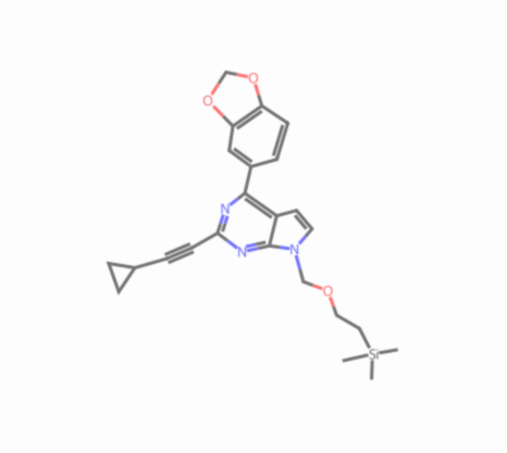 C[Si](C)(C)CCOCn1ccc2c(-c3ccc4c(c3)OCO4)nc(C#CC3CC3)nc21